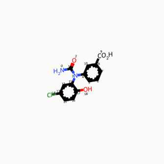 NC(=O)N(c1cccc(C(=O)O)c1)c1cc(Cl)ccc1O